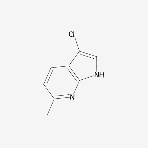 Cc1ccc2c(Cl)c[nH]c2n1